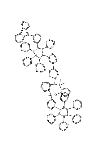 CC1(C)B(c2ccc(-c3cccc(N4B(c5ccccc5)N(c5ccccc5)B(c5ccccc5)N(c5cccc(-n6c7ccccc7c7ccccc76)n5)B4c4ccccc4)c3)cc2)c2ccccc2C(C)(c2cccc(N3B(c4ccccc4)N(c4ccccc4)B(c4ccccc4)N(c4ccccc4)B3c3ccccc3)c2)Oc2ccccc21